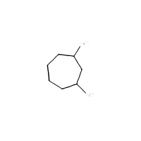 CCCC1CCCCC(CCC)C1